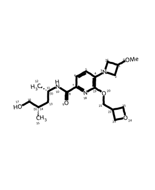 COC1CN(c2ccc(C(=O)N[C@@H](C)C[C@H](C)CO)nc2OCC2COC2)C1